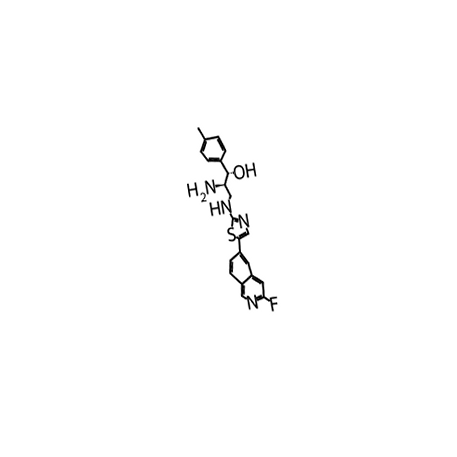 Cc1ccc([C@H](O)[C@H](N)CNc2ncc(-c3ccc4cnc(F)cc4c3)s2)cc1